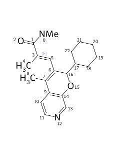 CNC(=O)/C(C)=C/C1=C(C)c2ccncc2OC1C1CCCCC1